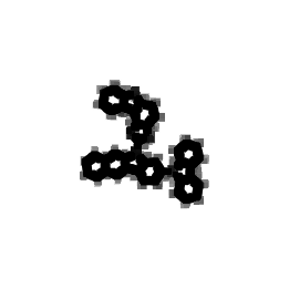 c1ccc2cc3c(cc2c1)c1ccc(-n2c4ccccc4c4ccccc42)cc1n3-c1nc2ccc3sc4ccccc4c3c2s1